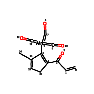 C=CC(=O)C1=[C]([Mn](=[C]=O)(=[C]=O)=[C]=O)C(C)=CC1